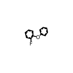 Fc1ccccc1Oc1ccccc1